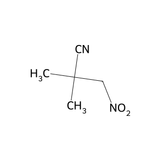 CC(C)(C#N)C[N+](=O)[O-]